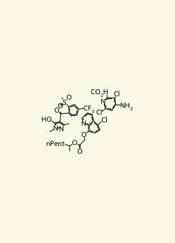 CCCCCC(C)OC(=O)COc1ccc(Cl)c2cccnc12.Cc1nn(C)c(O)c1C(=O)c1ccc(C(F)(F)F)cc1S(C)(=O)=O.Nc1cc(Cl)nc(C(=O)O)c1Cl